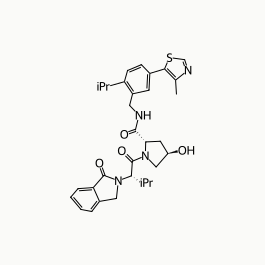 Cc1ncsc1-c1ccc(C(C)C)c(CNC(=O)[C@@H]2C[C@@H](O)CN2C(=O)[C@H](C(C)C)N2Cc3ccccc3C2=O)c1